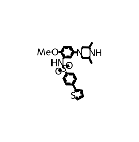 COc1ccc(N2CC(C)NC(C)C2)cc1NS(=O)(=O)c1ccc(-c2cccs2)cc1